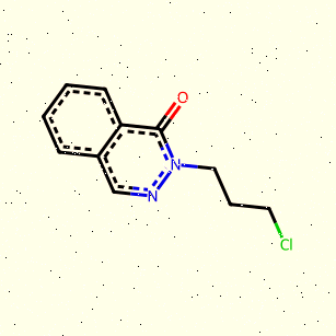 O=c1c2ccccc2cnn1CCCCl